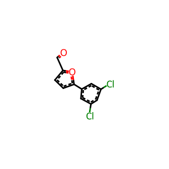 O=Cc1ccc(-c2cc(Cl)cc(Cl)c2)o1